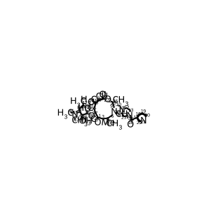 CO[C@]1(C)C[C@@H](C)CN(C)[C@@H](CN2CCN(C(=O)c3cccnc3)CC2)[C@H](C)OC(=O)C(C)(C)C(=O)[C@H](C)[C@H]1O[C@@H]1O[C@H](C)C[C@H](N(C)C)[C@H]1O